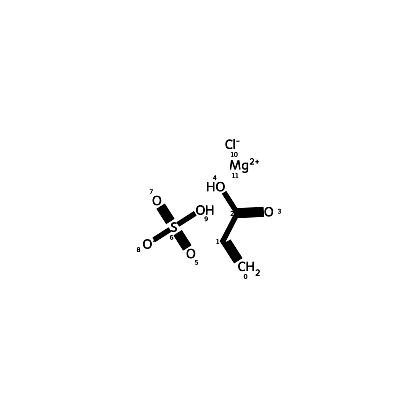 C=CC(=O)O.O=S(=O)([O-])O.[Cl-].[Mg+2]